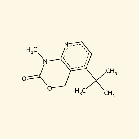 CN1C(=O)OCc2c(C(C)(C)C)ccnc21